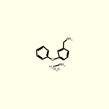 NCc1cccc(Oc2ccccc2)c1.NN.O